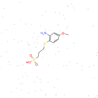 COc1ccc(SCCCS(=O)(=O)O)c(N)c1